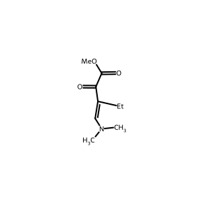 CC/C(=C\N(C)C)C(=O)C(=O)OC